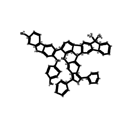 CC(C)(C)c1ccc(Nc2cc3oc4cc(C(C)(C)C)ccc4c3cc2-c2ccc3c4cc5c(cc4n4c3c2Bc2cc3c(-c6ccccc6)oc(-c6ccccc6)c3cc2-4)-c2ccccc2C5(C)C)cc1